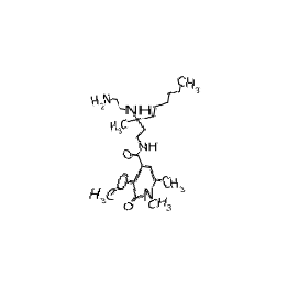 CCCCCCC(C)(CCNC(=O)c1cc(C)n(C)c(=O)c1OC)NCCN